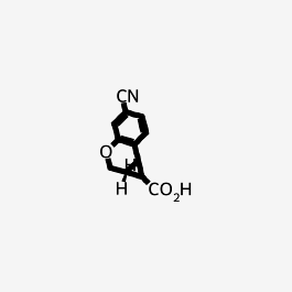 N#Cc1ccc2c(c1)OC[C@H]1C(C(=O)O)[C@@H]21